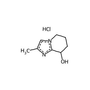 Cc1cn2c(n1)C(O)CCC2.Cl